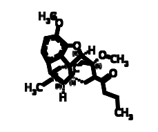 CCCC(=O)C1C[C@@]23CC[C@@]1(OC)[C@@H]1Oc4c(OC)ccc5c4[C@@]12CCN(C)[C@@H]3C5